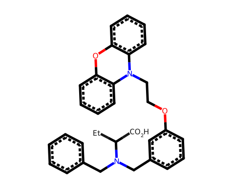 CCC(C(=O)O)N(Cc1ccccc1)Cc1cccc(OCCN2c3ccccc3Oc3ccccc32)c1